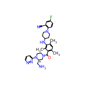 Cc1cc(C)c(C(=O)N2CCN(c3cccnn3)[C@H](CN)C2)c(C)c1NC1CCN(c2ccc(F)cc2C#N)CC1